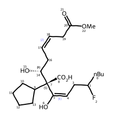 CCCCC(F)C/C=C(/O)[C@](C(=O)O)(C1CCCC1)[C@H](O)C/C=C\CC(=O)OC